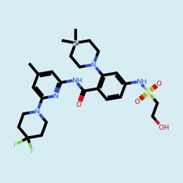 Cc1cc(NC(=O)c2ccc(NS(=O)(=O)CCO)cc2N2CC[Si](C)(C)CC2)nc(N2CCC(F)(F)CC2)c1